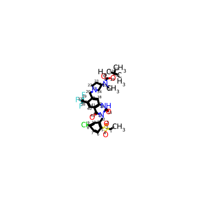 CCS(=O)(=O)c1ccc(Cl)cc1Cn1c(=O)[nH]c2cc(CN3CCC(N(C)C(=O)OC(C)(C)C)C3)c(C(F)(F)F)cc2c1=O